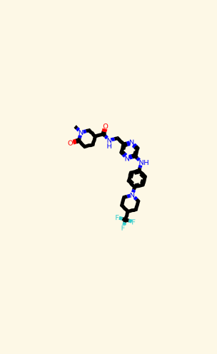 CN1CC(C(=O)NCc2cnc(Nc3ccc(N4CCC(C(F)(F)F)CC4)cc3)cn2)CCC1=O